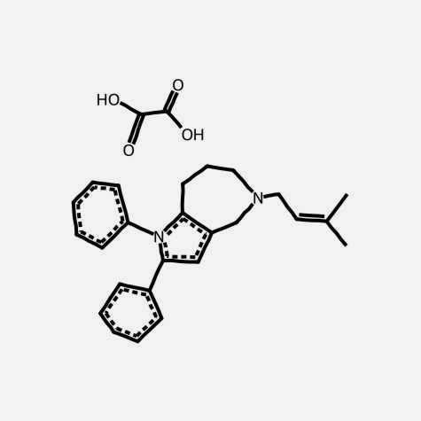 CC(C)=CCN1CCCc2c(cc(-c3ccccc3)n2-c2ccccc2)C1.O=C(O)C(=O)O